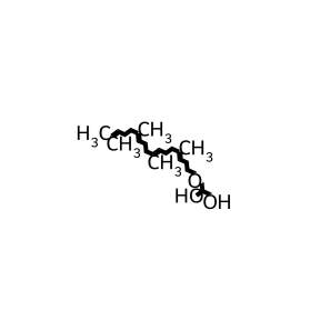 CC(C)=CCCC(C)=CCCC(C)=CCCC(C)=CCCCOCC(O)CO